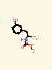 CCOC(=O)C(Cc1cccc(O)c1)NC(=O)OC(C)(C)C